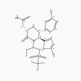 CCC(CS(=O)(=O)C(C)(C)C)N1C(=O)[C@H](CC(=O)O)O[C@H](c2cccc(Cl)c2)[C@H]1c1ccc(Cl)s1